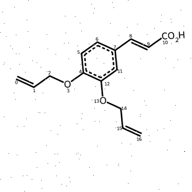 C=CCOc1ccc(C=CC(=O)O)cc1OCC=C